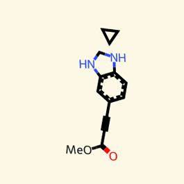 C1CC1.COC(=O)C#Cc1ccc2c(c1)NCN2